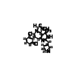 CN(C)C1=NC=C(c2c(Cl)cccc2Cl)Cc2nc(Cc3cccnc3)[nH]c(=O)c21